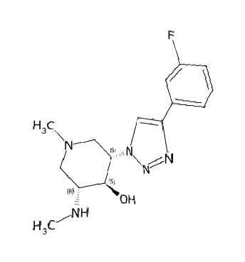 CN[C@@H]1CN(C)C[C@H](n2cc(-c3cccc(F)c3)nn2)[C@H]1O